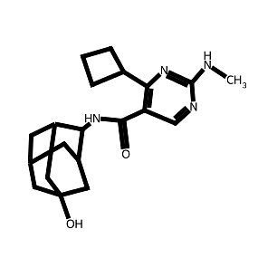 CNc1ncc(C(=O)NC2C3CC4CC2CC(O)(C4)C3)c(C2CCC2)n1